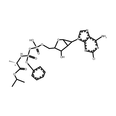 CC(C)OC(=O)[C@H](C)NP(=O)(Oc1ccccc1)OP(=O)(O)OCC1OC2C(C1O)C2n1cnc2c(N)nc(Cl)nc21